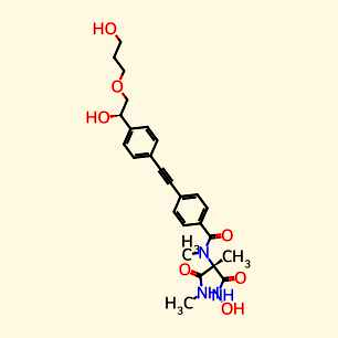 CNC(=O)[C@@](C)(C(=O)NO)N(C)C(=O)c1ccc(C#Cc2ccc([C@@H](O)COCCCO)cc2)cc1